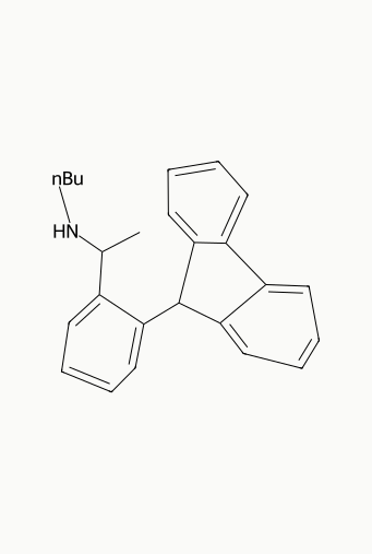 CCCCNC(C)c1ccccc1C1c2ccccc2-c2ccccc21